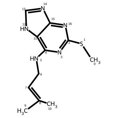 CSc1nc(NCC=C(C)C)c2[nH]cnc2n1